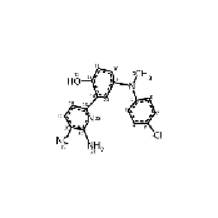 CN(c1ccc(Cl)cc1)c1ccc(O)c(-c2ccc(C#N)c(N)n2)c1